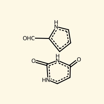 O=Cc1ccc[nH]1.O=c1cc[nH]c(=O)[nH]1